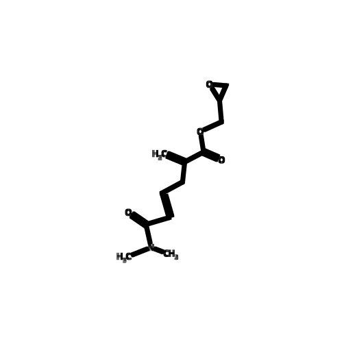 C=C(CC=CC(=O)N(C)C)C(=O)OCC1CO1